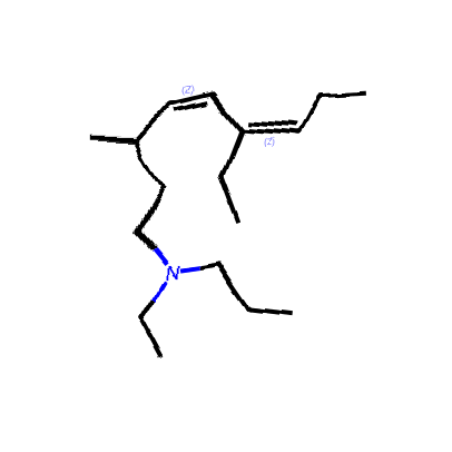 CC/C=C(\C=C/C(C)CCN(CC)CCC)CC